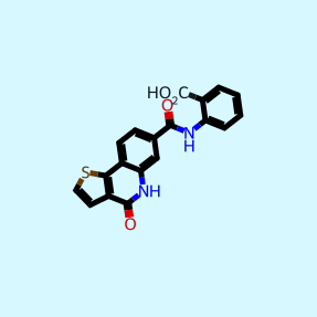 O=C(Nc1ccccc1C(=O)O)c1ccc2c(c1)[nH]c(=O)c1ccsc12